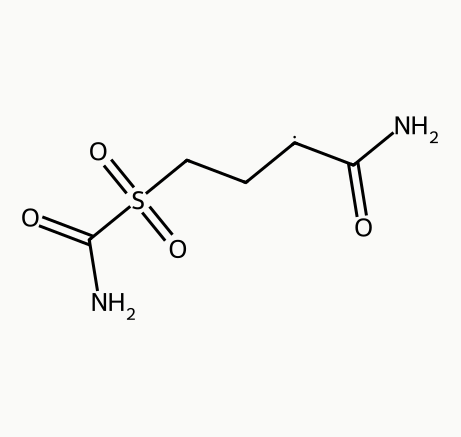 NC(=O)[CH]CCS(=O)(=O)C(N)=O